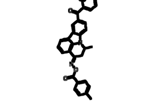 Cc1ccc(C(=O)O/N=C2\CC(C)n3c4ccc(C(=O)c5ccccc5C)cc4c4cccc2c43)cc1